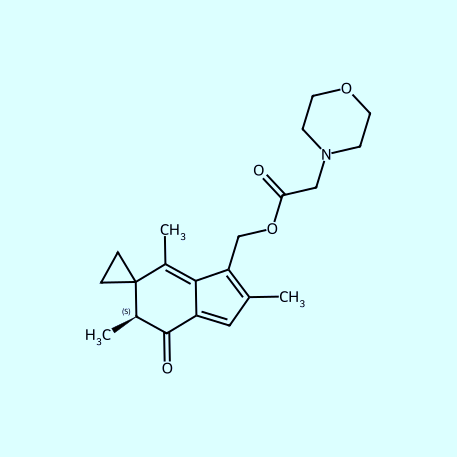 CC1=C(COC(=O)CN2CCOCC2)C2=C(C)C3(CC3)[C@H](C)C(=O)C2=C1